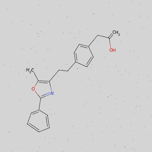 C=C(O)Cc1ccc(CCc2nc(-c3ccccc3)oc2C)cc1